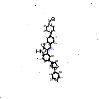 O=CN1CCN(c2ccc(/C=C3\C(=O)Nc4ccc(-c5csc(-c6ccncc6)n5)cc43)cc2)CC1